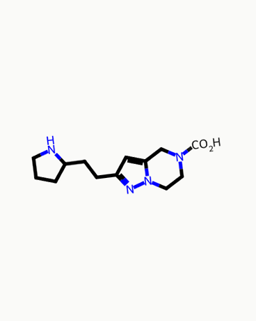 O=C(O)N1CCn2nc(CCC3CCCN3)cc2C1